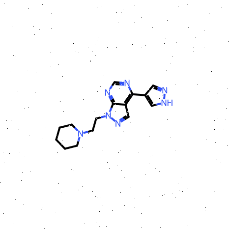 c1nc(-c2cn[nH]c2)c2cnn(CCN3CCCCC3)c2n1